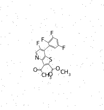 COC(=O)c1sc2c(-c3cc(F)cc(F)c3F)c(F)cnc2c1C(C)=O